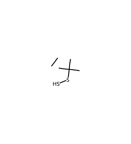 CC.CC(C)(C)SS